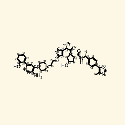 Cc1ncsc1-c1ccc([C@H](C)NC(=O)[C@@H]2C[C@@H](O)CN2C(=O)[C@@H](c2cc(OCCN3CCN(c4cc(-c5ccccc5O)nnc4N)CC3)no2)C(C)C)cc1